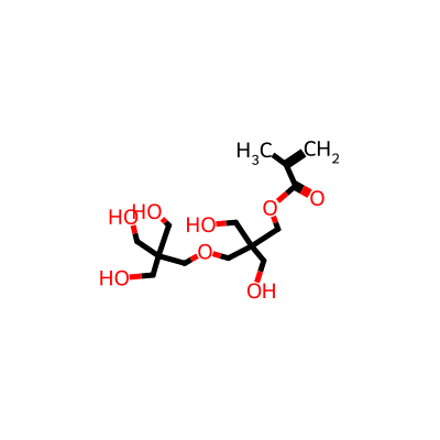 C=C(C)C(=O)OCC(CO)(CO)COCC(CO)(CO)CO